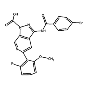 COc1cccc(F)c1-c1cc2c(NC(=O)c3ccc(Br)cc3)nn(C(=O)O)c2cn1